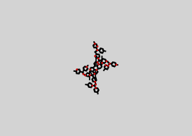 Cc1ccc(C(=Cc2ccc(N(c3ccc(C=C(c4ccc(C)cc4)c4ccc(C)cc4)cc3)c3ccc4c5cccc6c(N(c7ccc(C=C(c8ccc(C)cc8)c8ccc(C)cc8)cc7)c7ccc(C=C(c8ccc(C)cc8)c8ccc(C)cc8)cc7)ccc(c7cccc3c74)c65)cc2)c2ccc(C)cc2)cc1